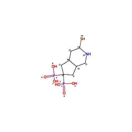 O=P(O)(O)C1(P(=O)(O)O)CC2CNC(S)CC2C1